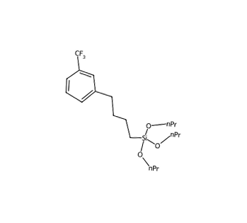 CCCO[Si](CCCCc1cccc(C(F)(F)F)c1)(OCCC)OCCC